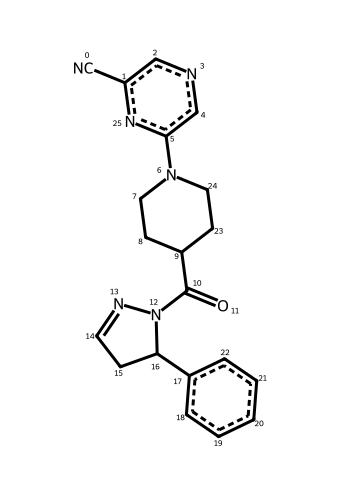 N#Cc1cncc(N2CCC(C(=O)N3N=CCC3c3ccccc3)CC2)n1